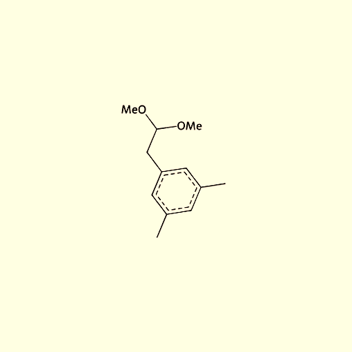 COC(Cc1cc(C)cc(C)c1)OC